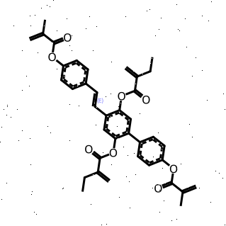 C=C(C)C(=O)Oc1ccc(/C=C/c2cc(OC(=O)C(=C)CC)c(-c3ccc(OC(=O)C(=C)C)cc3)cc2OC(=O)C(=C)CC)cc1